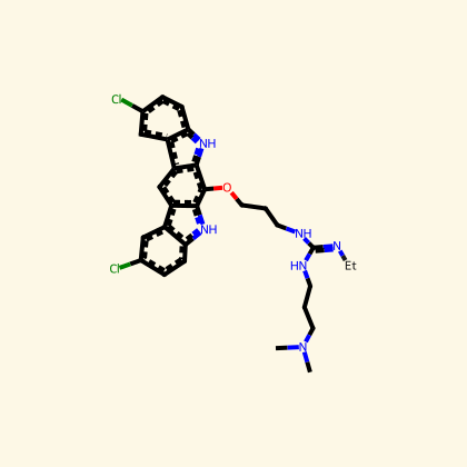 CC/N=C(/NCCCOc1c2[nH]c3ccc(Cl)cc3c2cc2c1[nH]c1ccc(Cl)cc12)NCCCN(C)C